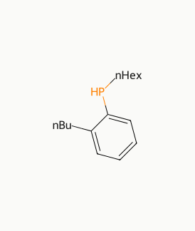 CCCCCCPc1ccccc1CCCC